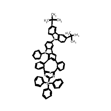 CC(C)(C)c1ccc2c(c1)c1cc(C(C)(C)C)ccc1n2-c1ccc2c(c1)c1cc3cc(c4ccccc4c4nc([Si](c5ccccc5)(c5ccccc5)c5ccccc5)nc(n4)c4ccccc34)c1n2-c1ccccc1